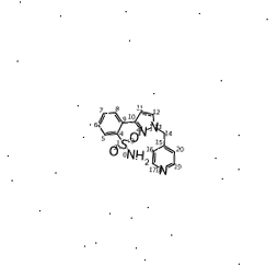 NS(=O)(=O)c1ccccc1-c1ccn(Cc2ccncc2)n1